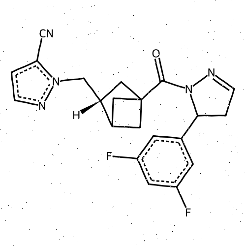 N#Cc1ccnn1C[C@@H]1CC2(C(=O)N3N=CCC3c3cc(F)cc(F)c3)CC1C2